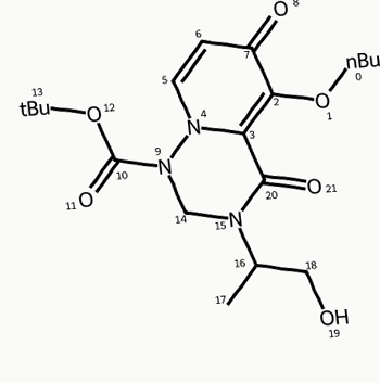 CCCCOc1c2n(ccc1=O)N(C(=O)OC(C)(C)C)CN(C(C)CO)C2=O